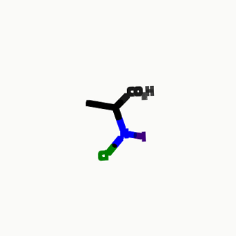 CC(C(=O)O)N(Cl)I